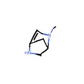 CN1C=C2CC1CN2